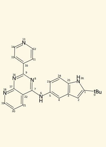 CC(C)(C)c1cc2cc(Nc3nc(-c4ccncc4)nc4ncccc34)ccc2[nH]1